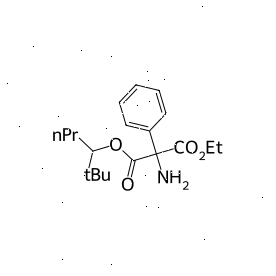 CCCC(OC(=O)C(N)(C(=O)OCC)c1ccccc1)C(C)(C)C